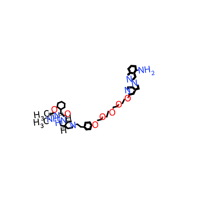 CN[C@@H](C)C(=O)N[C@H](C(=O)N1CC[C@H]2CCN(CCc3ccc(OCCOCCOCCOCCOc4cc5ccn(-c6cc7c(N)cccc7cn6)c5cn4)cc3)C[C@H]21)C1CCCCC1